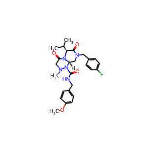 COc1ccc(CNC(=O)N2[C@H]3CN(Cc4ccc(F)cc4)C(=O)[C@H](C(C)C)N3C(=O)CN2C)cc1